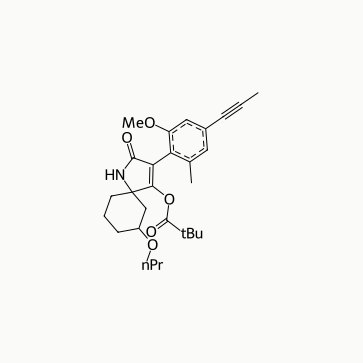 CC#Cc1cc(C)c(C2=C(OC(=O)C(C)(C)C)C3(CCCC(OCCC)C3)NC2=O)c(OC)c1